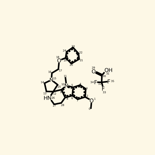 COc1ccc2c(c1)c1c(n2C)C2(CCN(CCOc3ccccc3)C2)NCC1.O=C(O)C(F)(F)F